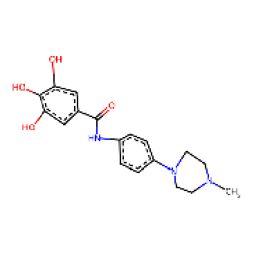 CN1CCN(c2ccc(NC(=O)c3cc(O)c(O)c(O)c3)cc2)CC1